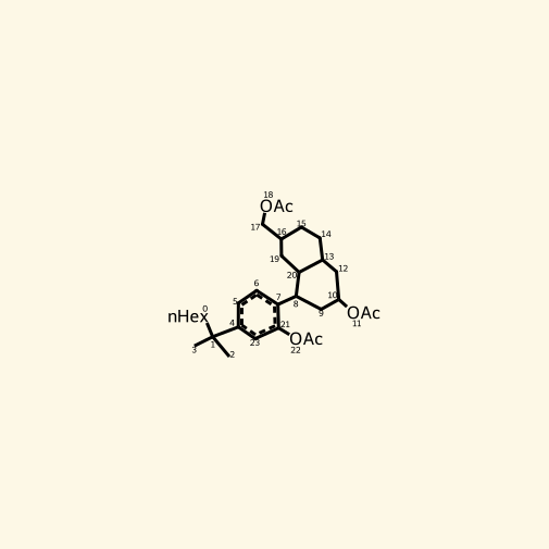 CCCCCCC(C)(C)c1ccc(C2CC(OC(C)=O)CC3CCC(COC(C)=O)CC32)c(OC(C)=O)c1